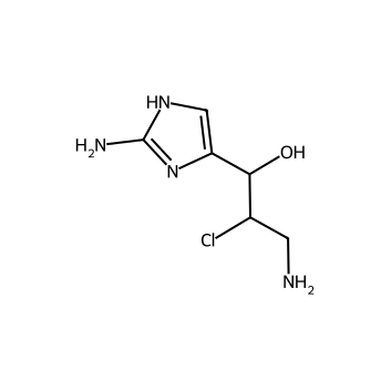 NCC(Cl)C(O)c1c[nH]c(N)n1